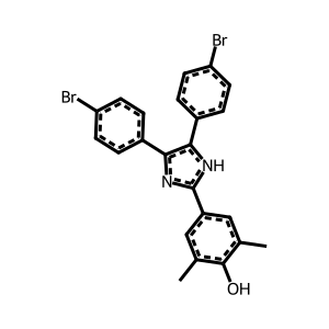 Cc1cc(-c2nc(-c3ccc(Br)cc3)c(-c3ccc(Br)cc3)[nH]2)cc(C)c1O